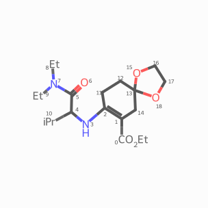 CCOC(=O)C1=C(NC(C(=O)N(CC)CC)C(C)C)CCC2(C1)OCCO2